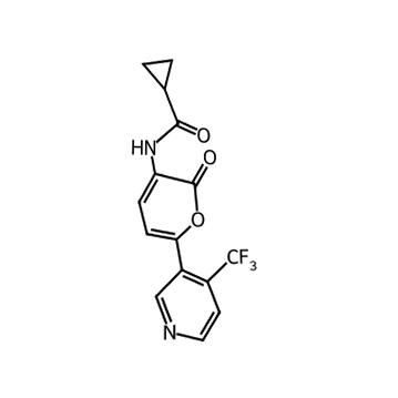 O=C(Nc1ccc(-c2cnccc2C(F)(F)F)oc1=O)C1CC1